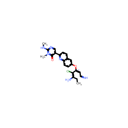 CC/C(N)=C(Cl)\C(=C/C=N)Oc1ccc2nc(-c3cnc(NC)n(C)c3=O)ccc2c1